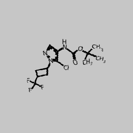 CC(C)(C)OC(=O)Nc1cnn(C2CC(C(F)(F)F)C2)c1Cl